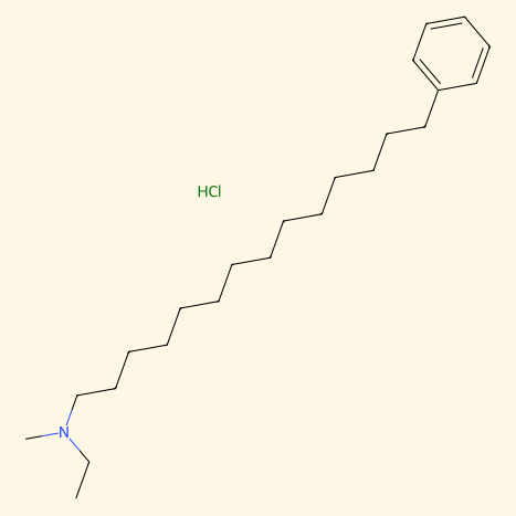 CCN(C)CCCCCCCCCCCCCCc1ccccc1.Cl